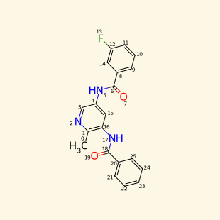 Cc1ncc(NC(=O)c2cccc(F)c2)cc1NC(=O)c1ccccc1